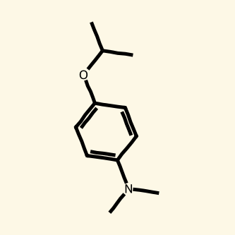 CC(C)Oc1ccc(N(C)C)cc1